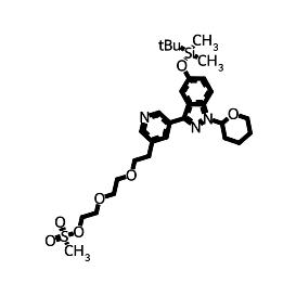 CC(C)(C)[Si](C)(C)Oc1ccc2c(c1)c(-c1cncc(CCOCCOCCOS(C)(=O)=O)c1)nn2C1CCCCO1